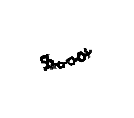 O=c1[nH]c(C2=CC(N3CCN(c4ccc(C(F)(F)F)cc4)CC3)CC2)cc2ncccc12